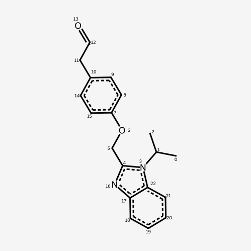 CC(C)n1c(COc2ccc(C[C]=O)cc2)nc2ccccc21